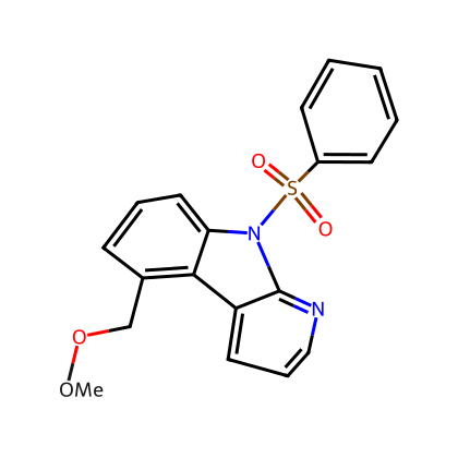 COOCc1cccc2c1c1cccnc1n2S(=O)(=O)c1ccccc1